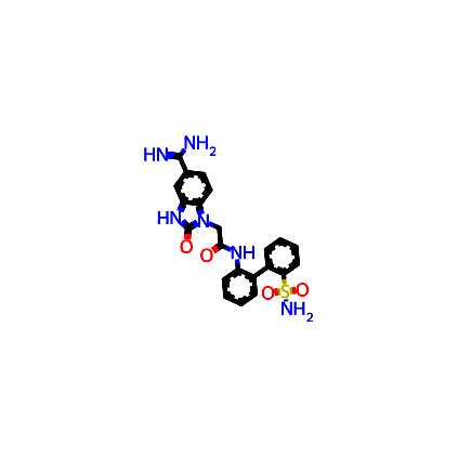 N=C(N)c1ccc2c(c1)[nH]c(=O)n2CC(=O)Nc1ccccc1-c1ccccc1S(N)(=O)=O